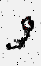 C=C1C[C@@H]2CC[C@@H]3C[C@@H](OC)[C@H](O3)C3C[C@@H](OC)[C@H]4O[C@H](CC[C@@H]4O3)CC(=O)C[C@@H]3[C@@H](OC)[C@@H](C[C@H](O)CNC(=O)OCc4ccc(NC(=O)[C@H](CC(N)=O)NC(=O)[C@H](C)NC(=O)[C@H](C)NC(=O)CCOCCOCCC(=O)ON5C(=O)CCC5=O)cc4)O[C@H]3C[C@H]3O[C@@H](CC[C@@H]1O2)C[C@@H](C)C3=C